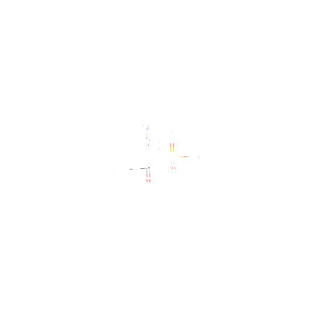 CC(=O)OS(=O)(=O)O.N.N